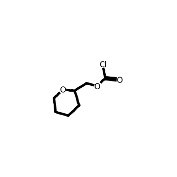 O=C(Cl)OCC1CCCCO1